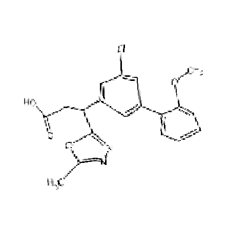 COc1ccccc1-c1cc(Cl)cc(C(CC(=O)O)c2nnc(C)o2)c1